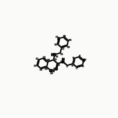 O=C(NCc1ccncc1)C(NCc1cccnc1)c1ccccc1O